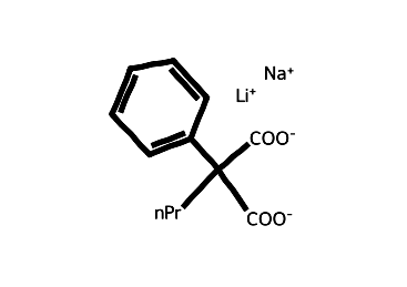 CCCC(C(=O)[O-])(C(=O)[O-])c1ccccc1.[Li+].[Na+]